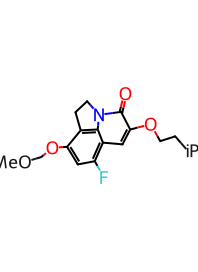 COCOc1cc(F)c2cc(OCCC(C)C)c(=O)n3c2c1CC3